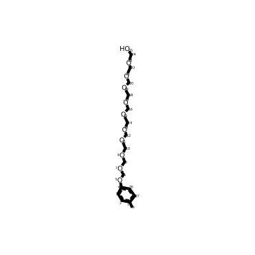 Cc1ccc(OCOCOCOCOCOCOCOCOCOCO)cc1